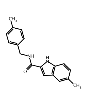 Cc1ccc(CNC(=O)c2cc3cc(C)ccc3[nH]2)cc1